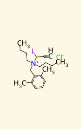 C#CC(I)[N+](CCCC)(CCCC)Cc1c(C)cccc1C.[Cl-]